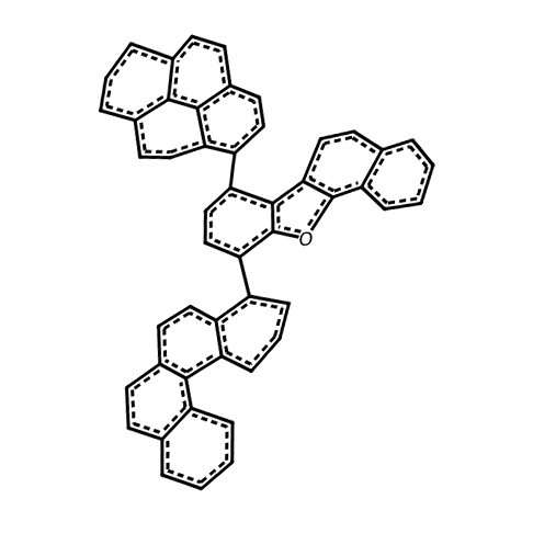 c1ccc2c(c1)ccc1c2oc2c(-c3cccc4c3ccc3ccc5ccccc5c34)ccc(-c3ccc4ccc5cccc6ccc3c4c56)c21